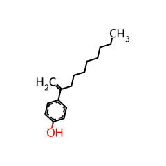 C=C(CCCCCCCC)c1ccc(O)cc1